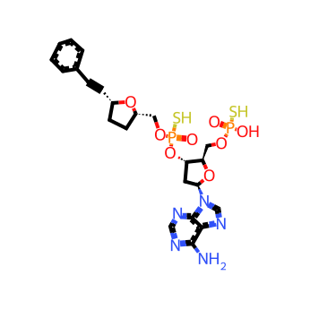 Nc1ncnc2c1ncn2[C@H]1C[C@H](OP(=O)(S)OC[C@@H]2CC[C@H](C#Cc3ccccc3)O2)[C@@H](COP(=O)(O)S)O1